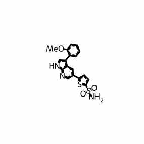 COc1ccccc1-c1c[nH]c2ncc(-c3ccc(S(N)(=O)=O)s3)cc12